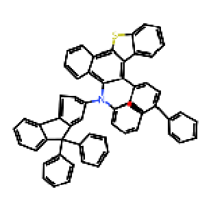 c1ccc(-c2ccc(-c3c(N(c4ccccc4)c4ccc5c(c4)C(c4ccccc4)(c4ccccc4)c4ccccc4-5)c4ccccc4c4sc5ccccc5c34)cc2)cc1